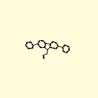 C=CCC1c2cc(-c3ccccc3)ccc2-c2ccc(-c3ccccc3)cc21